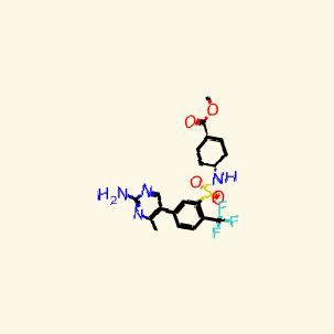 COC(=O)[C@H]1CC[C@H](NS(=O)(=O)c2cc(-c3cnc(N)nc3C)ccc2C(F)(F)F)CC1